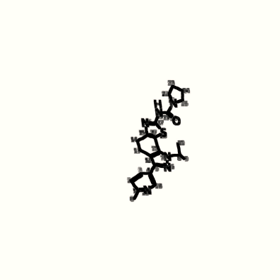 Cc1ccc(-c2nn(C(C)C)c3c2CCc2nc(NC(=O)N4CCCC4)sc2-3)cn1